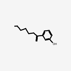 C=C(CCCCCC)c1cccc(O)c1